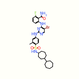 Cc1cc(Nc2ncc(Br)c(Nc3cccc(F)c3C(N)=O)n2)ccc1S(=O)(=O)NC1CCCC(C2CCCCCC2)CC1